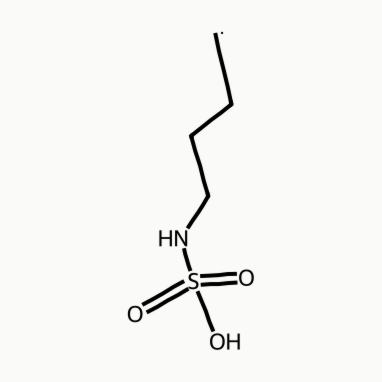 [CH2]CCCNS(=O)(=O)O